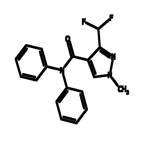 Cn1cc(C(=O)N(c2ccccc2)c2ccccc2)c(C(F)F)n1